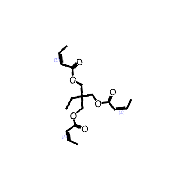 C/C=C\C(=O)OCC(CC)(COC(=O)/C=C\C)COC(=O)/C=C\C